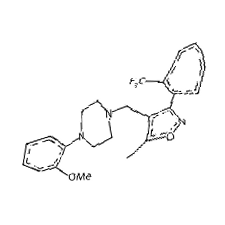 COc1ccccc1N1CCN(Cc2c(-c3ccccc3C(F)(F)F)noc2C)CC1